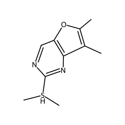 Cc1oc2cnc([SH](C)C)nc2c1C